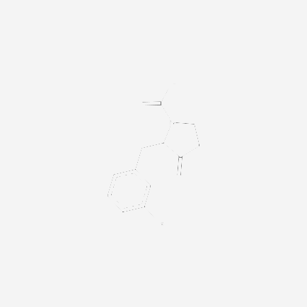 O=C1CCN(C(=O)O)C1Cc1cccc(Br)c1